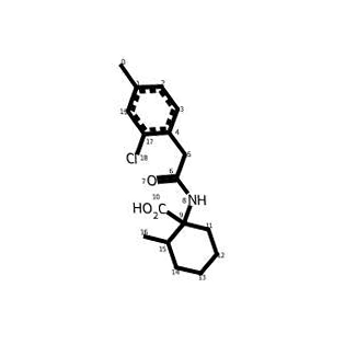 Cc1ccc(CC(=O)NC2(C(=O)O)CCCCC2C)c(Cl)c1